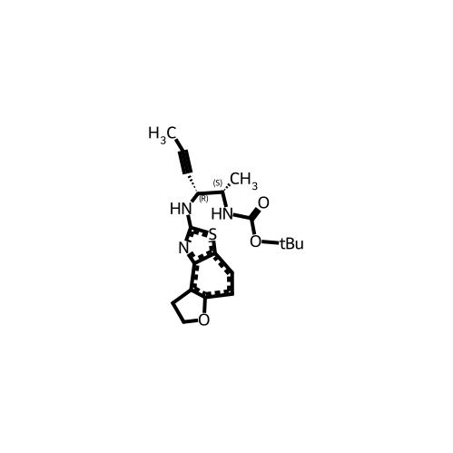 CC#C[C@@H](Nc1nc2c3c(ccc2s1)OCC3)[C@H](C)NC(=O)OC(C)(C)C